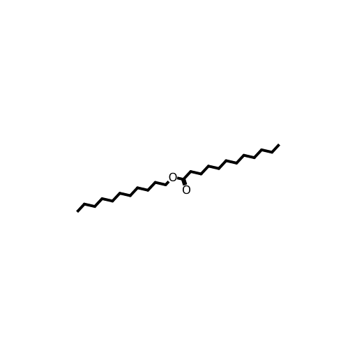 CCCCCCCCCCCOC(=O)CCCCCCCCCCC